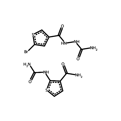 NC(=O)NNC(=O)c1csc(Br)c1.NC(=O)Nc1sccc1C(N)=O